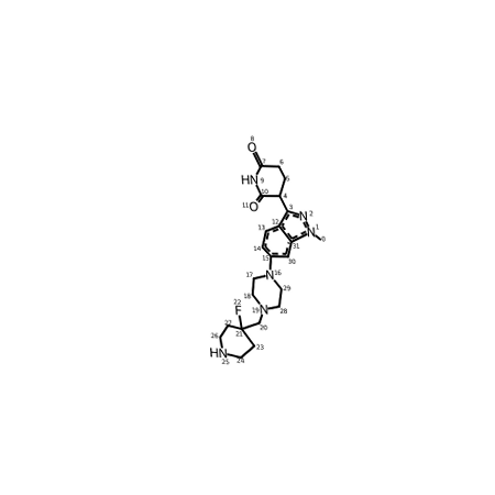 Cn1nc(C2CCC(=O)NC2=O)c2ccc(N3CCN(CC4(F)CCNCC4)CC3)cc21